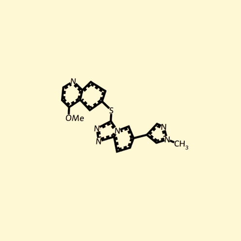 COc1ccnc2ccc(Sc3nnc4ccc(-c5cnn(C)c5)cn34)cc12